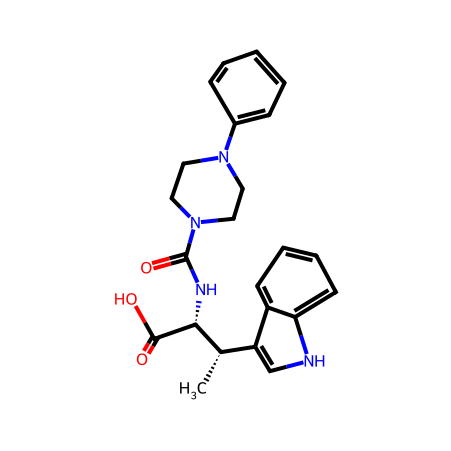 C[C@@H](c1c[nH]c2ccccc12)[C@@H](NC(=O)N1CCN(c2ccccc2)CC1)C(=O)O